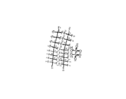 FC(F)(F)C(F)(F)C(F)(F)C(F)(F)C(F)(F)C(F)(F)C(F)(F)C(F)(F)F.FC(F)(F)C(F)(F)C(F)(F)C(F)(F)C(F)(F)C(F)(F)C(F)(F)C(F)(F)F.O=S(=O)(O)S(=O)(=O)O